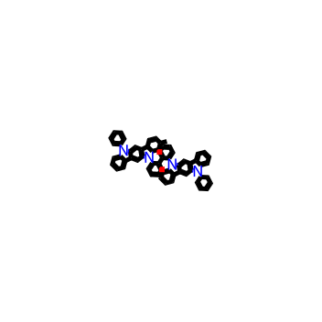 CC1C=CC2c3cc4c(cc3N(c3ccccc3-c3ccccc3-n3c5ccccc5c5cc6c(cc53)c3ccccc3n6C3C=CC=CC3)C2C1)c1ccccc1n4-c1ccccc1